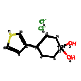 [Cl-].[Cl-].[OH][Ti+2]1([OH])[CH2]CC(c2ccsc2)C[CH2]1